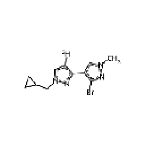 [2H]c1cn(CC2CC2)nc1-c1cn(C)nc1Br